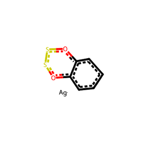 [Ag].c1ccc2ossoc2c1